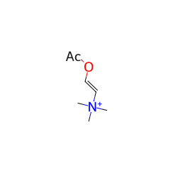 CC(=O)OC=C[N+](C)(C)C